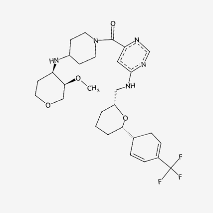 CO[C@H]1COCC[C@H]1NC1CCN(C(=O)c2cc(NC[C@H]3CCC[C@@H](C4C=CC(C(F)(F)F)=CC4)O3)ncn2)CC1